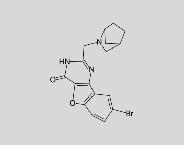 O=c1[nH]c(CN2CC3CCC2C3)nc2c1oc1ccc(Br)cc12